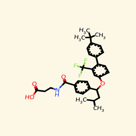 CC(C)CC(Oc1ccc(-c2ccc(C(C)(C)C)cc2)c(C(F)(F)F)c1)c1ccc(C(=O)NCCC(=O)O)cc1